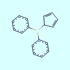 C1=CC(P(c2ccccc2)c2ccccc2)C=C1